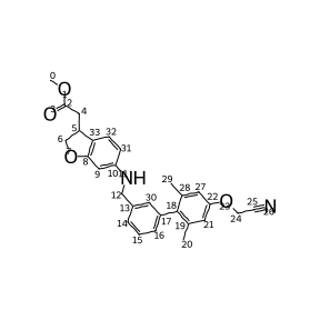 COC(=O)CC1COc2cc(NCc3cccc(-c4c(C)cc(OCC#N)cc4C)c3)ccc21